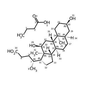 CCCC(=O)O.C[C@H](CCC(=O)O)[C@H]1CC[C@H]2[C@@H]3CC[C@@H]4C[C@H](O)CC[C@]4(C)[C@H]3C[C@H](O)[C@]12C